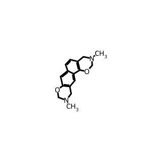 CN1COc2cc3ccc4c(c3cc2C1)OCN(C)C4